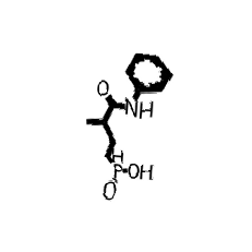 CC(CC[PH](=O)O)C(=O)Nc1ccccc1